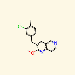 COc1nc2ccncc2cc1Cc1ccc(C)c(Cl)c1